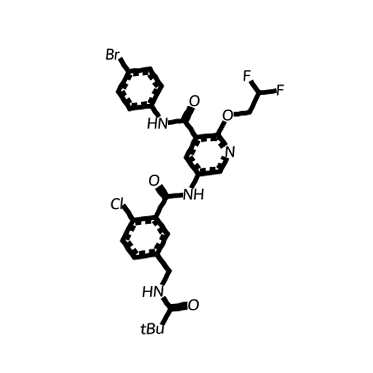 CC(C)(C)C(=O)NCc1ccc(Cl)c(C(=O)Nc2cnc(OCC(F)F)c(C(=O)Nc3ccc(Br)cc3)c2)c1